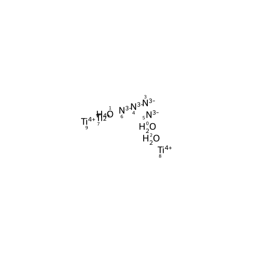 O.O.O.[N-3].[N-3].[N-3].[N-3].[Ti+4].[Ti+4].[Ti+4]